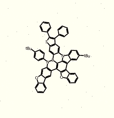 CC(C)(C)c1ccc(N2B3c4cc5sc(-c6ccccc6)c(-c6ccccc6)c5cc4-n4c5ccc(C(C)(C)C)cc5c5c6c(oc7ccccc76)c(c3c54)-c3cc4c(cc32)oc2ccccc24)cc1